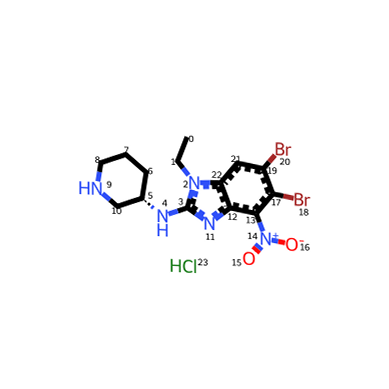 CCn1c(N[C@H]2CCCNC2)nc2c([N+](=O)[O-])c(Br)c(Br)cc21.Cl